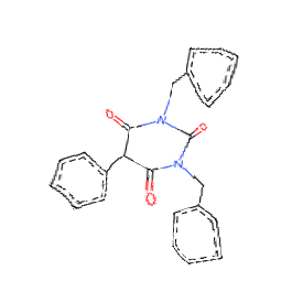 O=C1C(c2ccccc2)C(=O)N(Cc2ccccc2)C(=O)N1Cc1ccccc1